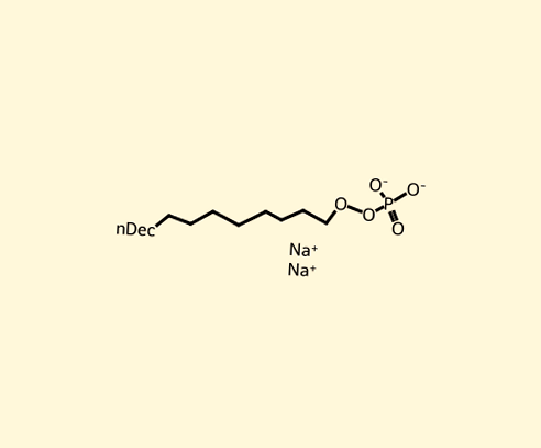 CCCCCCCCCCCCCCCCCCOOP(=O)([O-])[O-].[Na+].[Na+]